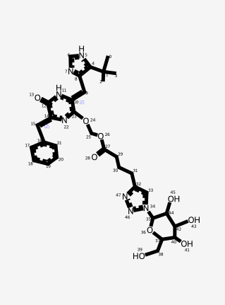 CC(C)(C)c1[nH]cnc1/C=c1\[nH]c(=O)/c(=C/c2ccccc2)nc1OCOC(=O)CCCc1cn(C2OC(CO)C(O)C(O)C2O)nn1